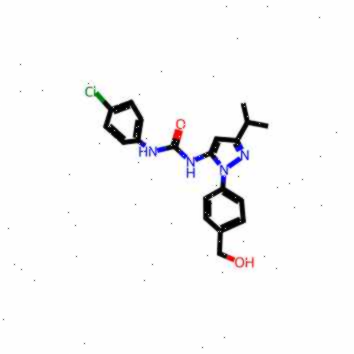 CC(C)c1cc(NC(=O)Nc2ccc(Cl)cc2)n(-c2ccc(CO)cc2)n1